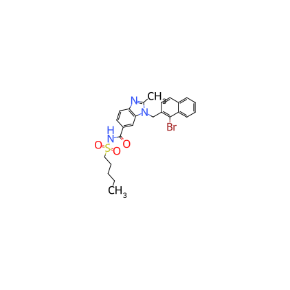 CCCCCS(=O)(=O)NC(=O)c1ccc2nc(C)n(Cc3ccc4ccccc4c3Br)c2c1